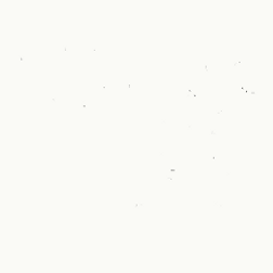 CC(CCc1ccc(Cl)cc1)(Cn1ccnc1)Sc1c(F)cccc1F